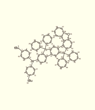 CC(C)(C)c1ccc(N(c2ccc(C(C)(C)C)cc2)c2ccc3c(c2)C(c2ccccc2)(c2ccccc2)c2cc4c(cc2-3)C(c2ccccc2)(c2ccccc2)c2ccc3oc5ccccc5c3c2-4)cc1